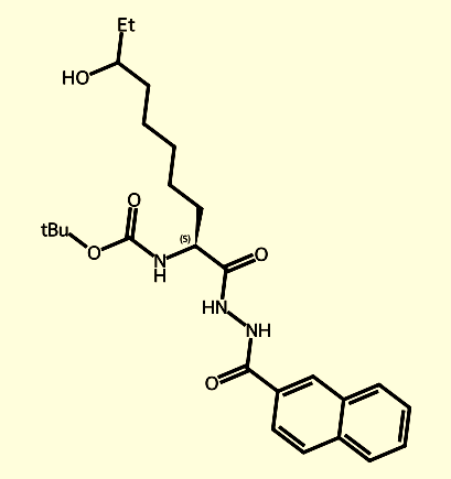 CCC(O)CCCCC[C@H](NC(=O)OC(C)(C)C)C(=O)NNC(=O)c1ccc2ccccc2c1